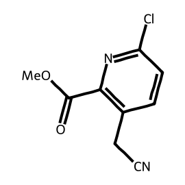 COC(=O)c1nc(Cl)ccc1CC#N